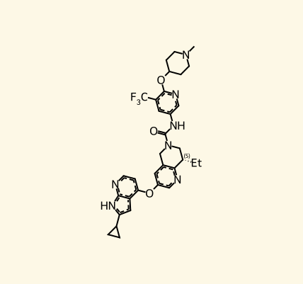 CC[C@H]1CN(C(=O)Nc2cnc(OC3CCN(C)CC3)c(C(F)(F)F)c2)Cc2cc(Oc3ccnc4[nH]c(C5CC5)cc34)cnc21